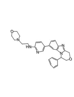 c1ccc(C2COCc3nc4ccc(-c5ccc(NCCN6CCOCC6)nc5)cc4n32)cc1